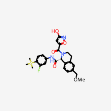 COCc1ccc2c(c1)CCN(C(=O)c1cc(O)no1)[C@H]2C(=O)Nc1ccc(S(C)(C)C)c(F)c1